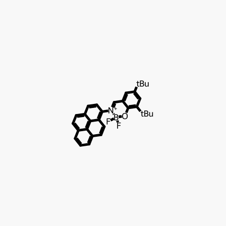 CC(C)(C)c1cc2c(c(C(C)(C)C)c1)O[B-](F)(F)[N+](c1ccc3ccc4cccc5ccc1c3c45)=C2